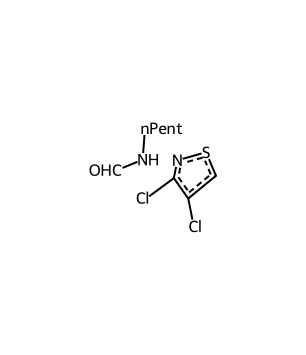 CCCCCNC=O.Clc1csnc1Cl